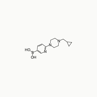 OB(O)c1ccc(N2CCN(CC3CC3)CC2)nc1